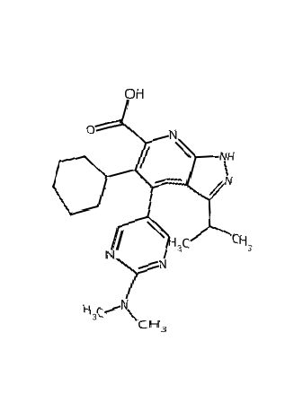 CC(C)c1n[nH]c2nc(C(=O)O)c(C3CCCCC3)c(-c3cnc(N(C)C)nc3)c12